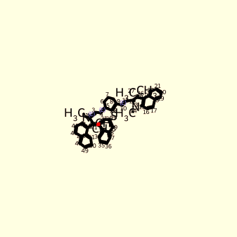 CN1/C(=C/C=C2\CCCC(/C=C/C3=[N+](C)c4ccc5ccccc5c4C3(C)C)=C2Sc2ccc3ccccc3c2)C(C)(C)c2c1ccc1ccccc21